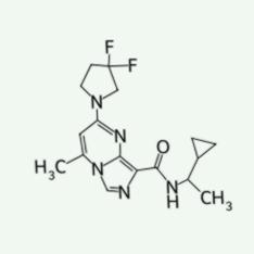 Cc1cc(N2CCC(F)(F)C2)nc2c(C(=O)NC(C)C3CC3)ncn12